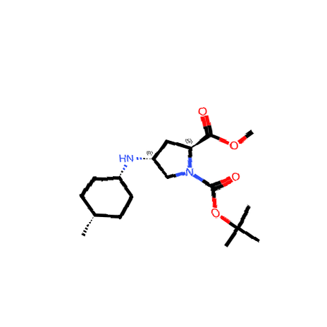 COC(=O)[C@@H]1C[C@@H](N[C@H]2CC[C@@H](C)CC2)CN1C(=O)OC(C)(C)C